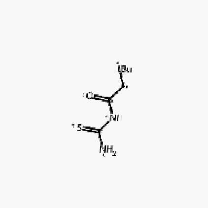 CC(C)(C)CC(=O)NC(N)=S